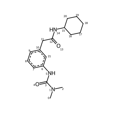 CN(C)C(=O)Nc1cccc(CC(=O)NC2CCCCC2)c1